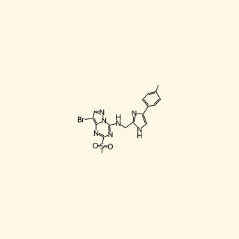 Cc1ccc(-c2c[nH]c(CNc3nc(S(C)(=O)=O)nc4c(Br)cnn34)n2)cc1